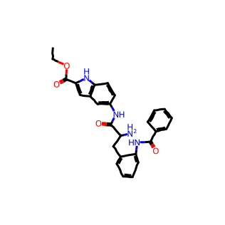 CCOC(=O)c1cc2cc(NC(=O)C(N)Cc3ccccc3NC(=O)c3ccccc3)ccc2[nH]1